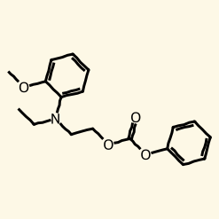 CCN(CCOC(=O)Oc1ccccc1)c1ccccc1OC